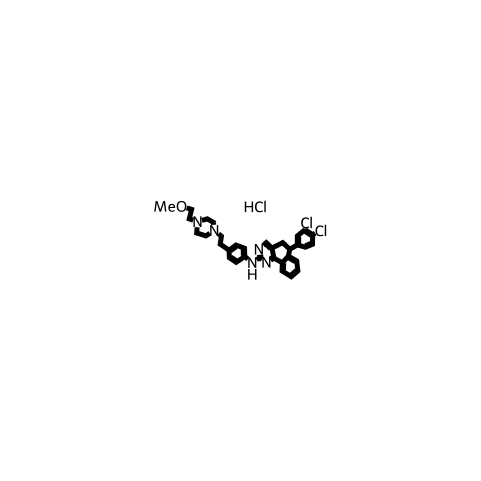 COCCN1CCN(CCc2ccc(Nc3ncc4c(n3)-c3ccccc3C(c3ccc(Cl)c(Cl)c3)C4)cc2)CC1.Cl